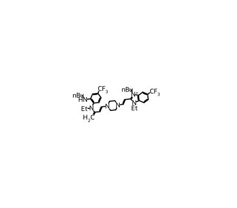 C=C(/C=C/N1CCN(/C=C/c2n(CC)c3ccc(C(F)(F)F)cc3[n+]2CCCC)CC1)N(CC)c1ccc(C(F)(F)F)cc1NCCCC